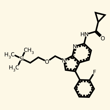 C[Si](C)(C)CCOCn1cc(-c2ccccc2F)c2ccc(NC(=O)C3CC3)nc21